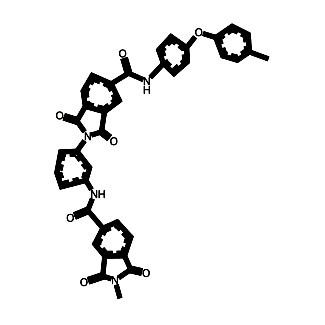 Cc1ccc(Oc2ccc(NC(=O)c3ccc4c(c3)C(=O)N(c3cccc(NC(=O)c5ccc6c(c5)C(=O)N(C)C6=O)c3)C4=O)cc2)cc1